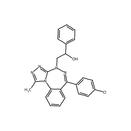 Cc1nnc2n1-c1ccccc1C(c1ccc(Cl)cc1)=NN2CC(O)c1ccccc1